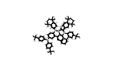 Cc1cc2c3c(c1)N(c1ccc(C(C)(C)C)cc1-c1ccccc1)c1c(oc4cc5c(cc14)C(C)(C)CCC5(C)C)B3N(c1ccc3c(c1)C(C)(C)CCC3(C)C)c1ccc(N(c3ccc(C(C)(C)C)cc3)c3ccc(C(C)(C)C)cc3)cc1-2